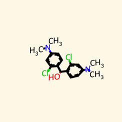 CN(C)c1ccc(C(O)c2ccc(N(C)C)cc2Cl)c(Cl)c1